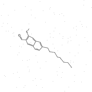 CCCCCCCCc1ccc2cc(C=O)c(SC)cc2c1